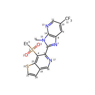 CCS(=O)(=O)c1c(-c2nc3cc(C(F)(F)F)cnc3n2C)ncc2ccsc12